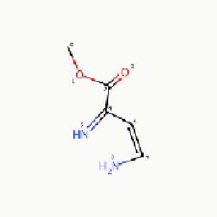 COC(=O)C(=N)/C=C\N